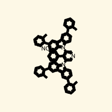 Cc1ccccc1-c1ccc2c(c1)c1cc(-c3ccccc3C)ccc1n2-c1cncc(-n2c3ccc(-c4ccccc4C)cc3c3cc(-c4ccccc4C)ccc32)c1-c1cccc(C#N)c1